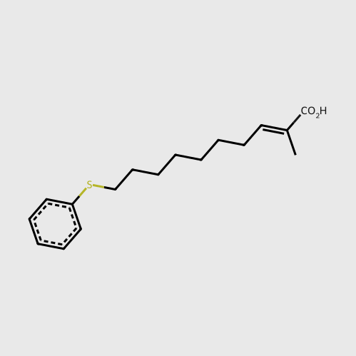 CC(=CCCCCCCCSc1ccccc1)C(=O)O